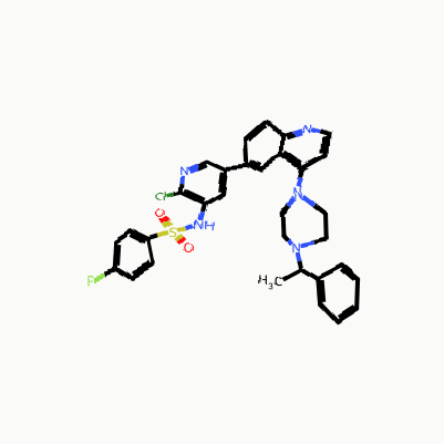 CC(c1ccccc1)N1CCN(c2ccnc3ccc(-c4cnc(Cl)c(NS(=O)(=O)c5ccc(F)cc5)c4)cc23)CC1